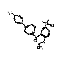 CS(=O)(=O)c1ccc(SCC(F)(F)F)c(C(=O)N2CCN(c3ccc(C(F)(F)F)cc3)CC2)c1